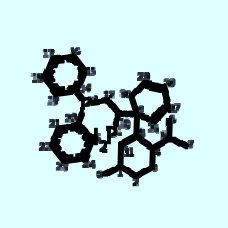 CC1CCC(C(C)C)C(C2(C(P)CP(c3ccccc3)c3ccccc3)C=CC=CC2)C1